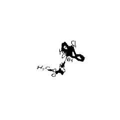 CCOC(=O)c1csc(NC(=O)C2(C)CC3(Cl)c4ccccc4C2c2ccccc23)n1